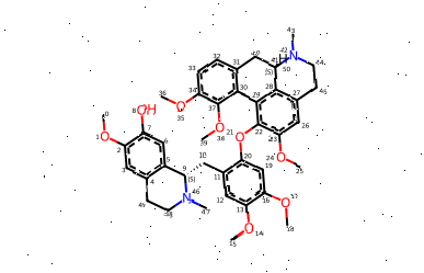 COc1cc2c(cc1O)[C@H](Cc1cc(OC)c(OC)cc1Oc1c(OC)cc3c4c1-c1c(ccc(OC)c1OC)C[C@@H]4N(C)CC3)N(C)CC2